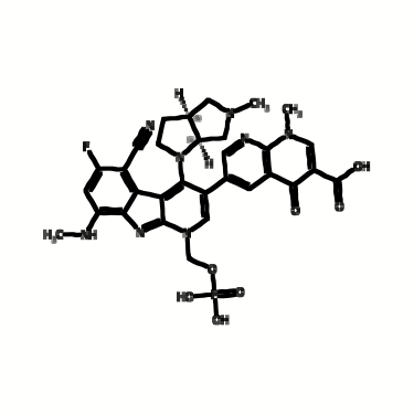 CNc1cc(F)c(C#N)c2c3c(N4CC[C@H]5CN(C)C[C@H]54)c(-c4cnc5c(c4)c(=O)c(C(=O)O)cn5C)cn(COP(=O)(O)O)c-3nc12